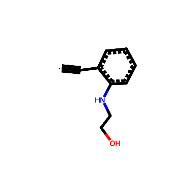 [C]#Cc1ccccc1NCCO